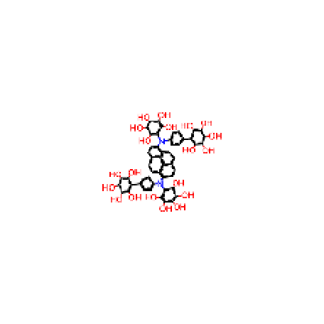 Oc1c(O)c(O)c(-c2ccc(N(c3c(O)c(O)c(O)c(O)c3O)c3ccc4ccc5c(N(c6ccc(-c7c(O)c(O)c(O)c(O)c7O)cc6)c6c(O)c(O)c(O)c(O)c6O)ccc6ccc3c4c65)cc2)c(O)c1O